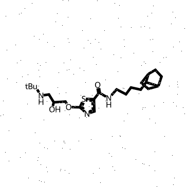 CC(C)(C)NCC(O)COc1ncc(C(=O)NCCCCC2C3CCC2CC3)s1